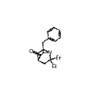 CCC1(CC)CC2CCN1C(Cc1ccccc1)C2=O